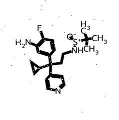 CC(C)(C)[S+]([O-])NCCC(c1ccncc1)(c1ccc(F)c(N)c1)C1CC1